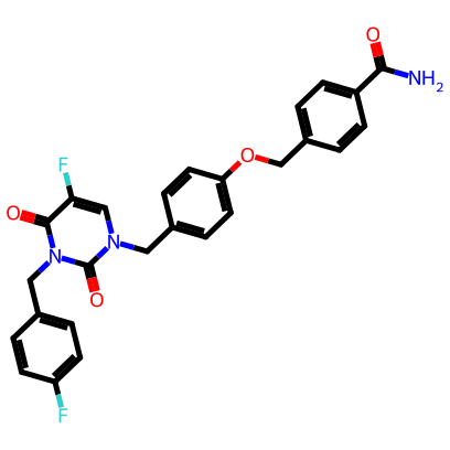 NC(=O)c1ccc(COc2ccc(Cn3cc(F)c(=O)n(Cc4ccc(F)cc4)c3=O)cc2)cc1